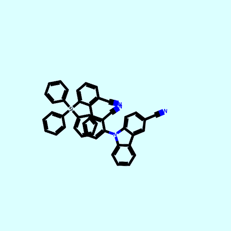 N#Cc1ccc2c(c1)c1ccccc1n2-c1cccc(-c2c(C#N)cccc2[Si](c2ccccc2)(c2ccccc2)c2ccccc2)c1C#N